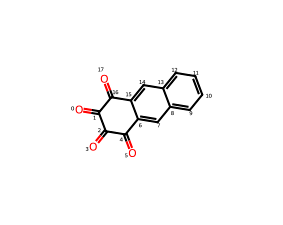 O=c1c(=O)c(=O)c2cc3ccccc3cc2c1=O